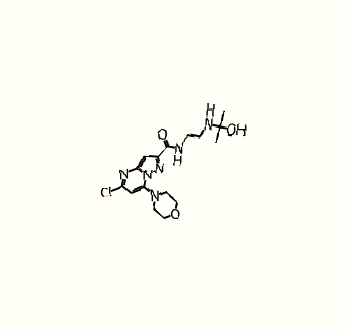 CC(C)(O)NCCNC(=O)c1cc2nc(Cl)cc(N3CCOCC3)n2n1